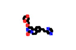 O=c1nc(OC[C@@H]2COCCO2)cc2n1CCc1cc(CCc3cnccn3)ccc1-2